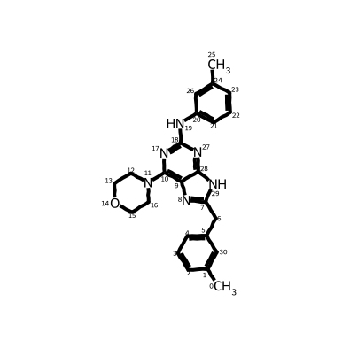 Cc1cccc(Cc2nc3c(N4CCOCC4)nc(Nc4cccc(C)c4)nc3[nH]2)c1